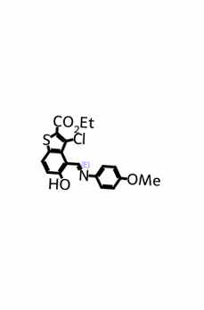 CCOC(=O)c1sc2ccc(O)c(/C=N/c3ccc(OC)cc3)c2c1Cl